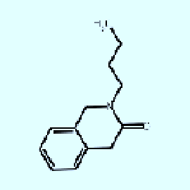 CCCCN1Cc2ccccc2CC1=O